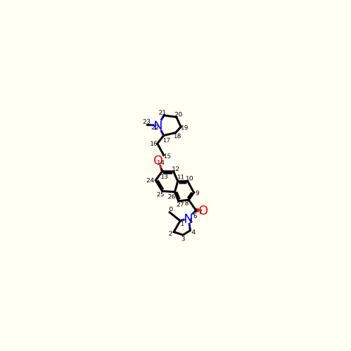 CC1CCCN1C(=O)c1ccc2cc(OCCC3CCCCN3C)ccc2c1